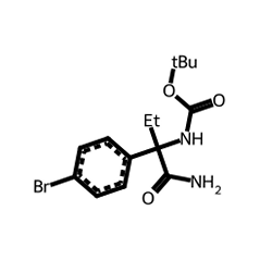 CCC(NC(=O)OC(C)(C)C)(C(N)=O)c1ccc(Br)cc1